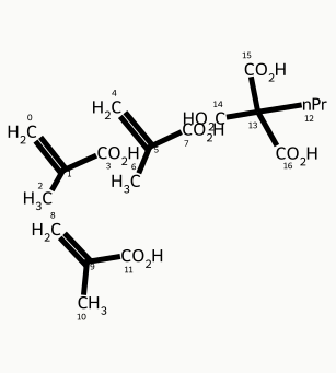 C=C(C)C(=O)O.C=C(C)C(=O)O.C=C(C)C(=O)O.CCCC(C(=O)O)(C(=O)O)C(=O)O